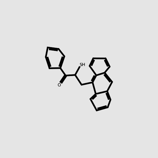 O=C(c1ccccc1)C(S)Cc1c2ccccc2cc2ccccc12